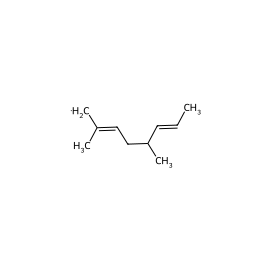 [CH2]C(C)=CCC(C)C=CC